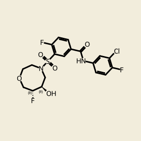 O=C(Nc1ccc(F)c(Cl)c1)c1ccc(F)c(S(=O)(=O)N2CCOC[C@@H](F)[C@H](O)C2)c1